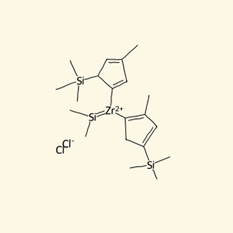 CC1=CC([Si](C)(C)C)[C]([Zr+2]([C]2=C(C)C=C([Si](C)(C)C)C2)=[Si](C)C)=C1.[Cl-].[Cl-]